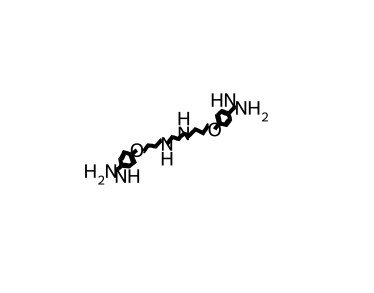 N=C(N)c1ccc(OCCCCNCCNCCCCOc2ccc(C(=N)N)cc2)cc1